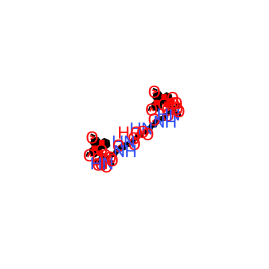 COc1ccc(C(OC[C@H]2O[C@@H](OCCCNC(=O)CCCNC(=O)OCC(O)COC(=O)NCCCC(=O)NCCCO[C@@H]3O[C@H](COC(c4ccccc4)(c4ccc(OC)cc4)c4ccc(OC)cc4)[C@H](OC(C)=O)[C@H](OC(C)=O)[C@H]3NC(C)=O)[C@H](NC(C)=O)[C@@H](OC(C)=O)[C@H]2OC(C)=O)(c2ccccc2)c2ccc(OC)cc2)cc1